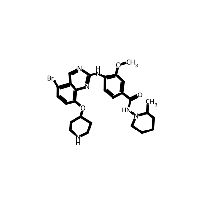 COc1cc(C(=O)NN2CCCCC2C)ccc1Nc1ncc2c(Br)ccc(OC3CCNCC3)c2n1